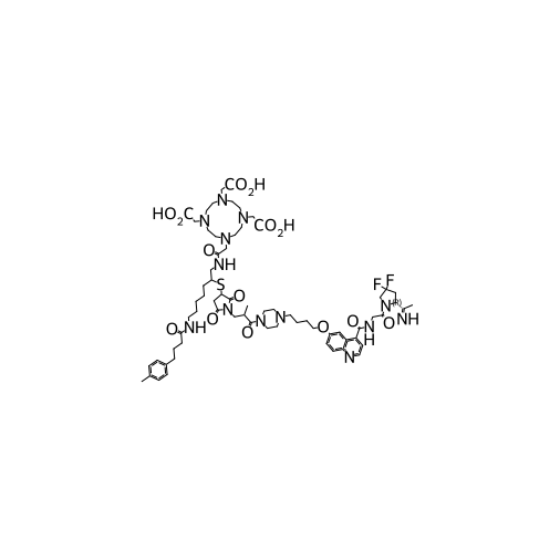 CC(=N)[C@H]1CC(F)(F)CN1C(=O)CNC(=O)c1ccnc2ccc(OCCCCN3CCN(C(=O)C(C)CN4C(=O)CC(SC(CCCCCNC(=O)CCCc5ccc(C)cc5)CNC(=O)CN5CCN(CC(=O)O)CCN(CC(=O)O)CCN(CC(=O)O)CC5)C4=O)CC3)cc12